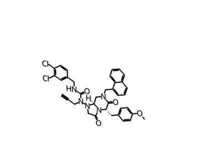 C#CCN(C(=O)NCc1ccc(Cl)c(Cl)c1)N1CC(=O)N2[C@@H](Cc3ccc(OC)cc3)C(=O)N(Cc3cccc4ccccc34)C[C@@H]21